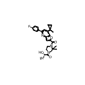 CC(C)[C@@H](O)C(=O)N1CCN(C(=O)c2cc3nc(-c4ccc(F)cc4)cc(C4(C)CC4)c3o2)C(C)(C)C1